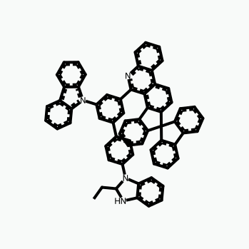 CCC1Nc2ccccc2N1c1ccc(-c2cc(-c3nc4ccccc4c4ccc5c(c34)-c3ccccc3C53c4ccccc4-c4ccccc43)cc(-n3c4ccccc4c4ccccc43)c2)cc1